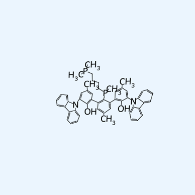 Cc1cc(-c2cc(C)cc(-n3c4ccccc4c4ccccc43)c2O)c(P(C)CCCCP(C)C)c(-c2cc(C)cc(-n3c4ccccc4c4ccccc43)c2O)c1